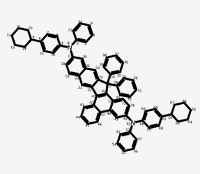 c1ccc(N(c2ccc(C3CCCCC3)cc2)c2ccc3cc4c(cc3c2)C(c2ccccc2)(c2ccccc2)c2c-4c3ccccc3c3cc(N(c4ccccc4)c4ccc(C5CCCCC5)cc4)ccc23)cc1